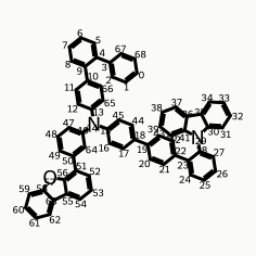 c1ccc(-c2ccccc2-c2ccc(N(c3ccc(-c4ccc(-c5ccccc5-n5c6ccccc6c6ccccc65)cc4)cc3)c3cccc(-c4cccc5c4oc4ccccc45)c3)cc2)cc1